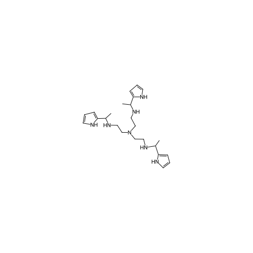 CC(NCCN(CCNC(C)c1ccc[nH]1)CCNC(C)c1ccc[nH]1)c1ccc[nH]1